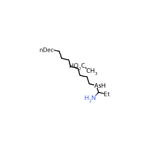 CC(=O)O.CCCCCCCCCCCCCCCCCC[AsH]C(N)CC